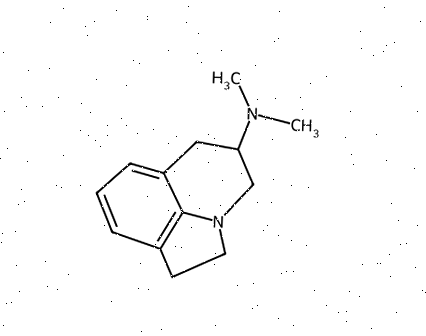 CN(C)C1Cc2cccc3c2N(CC3)C1